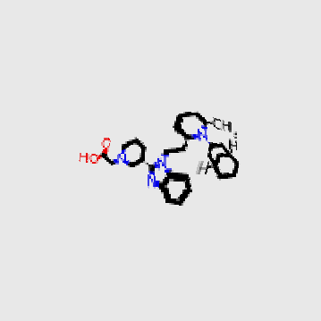 C[C@@H]1CCC[C@H](CCn2c([C@H]3CCCN(CC(=O)O)C3)nc3ccccc32)N1[C@H]1C[C@@H]2CCC[C@@H](C2)C1